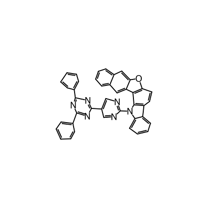 c1ccc(-c2nc(-c3ccccc3)nc(-c3cnc(-n4c5ccccc5c5ccc6oc7cc8ccccc8cc7c6c54)nc3)n2)cc1